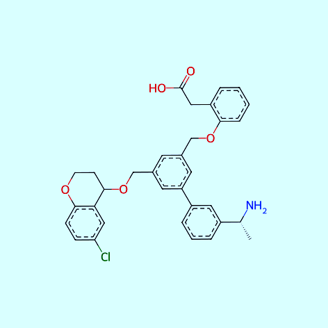 C[C@@H](N)c1cccc(-c2cc(COc3ccccc3CC(=O)O)cc(COC3CCOc4ccc(Cl)cc43)c2)c1